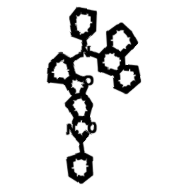 c1ccc(-c2nc3cc4c(cc3o2)oc2c(N(c3ccccc3)c3cc5ccccc5c5ccccc35)cccc24)cc1